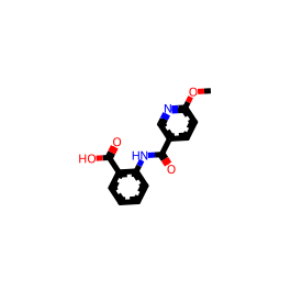 COc1ccc(C(=O)Nc2ccccc2C(=O)O)cn1